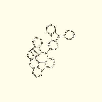 c1ccc(-n2c3ccccc3c3cc(N(c4cccc5c4-c4c6ccccc6cc6cccc-5c46)c4cccc5ccccc45)ccc32)cc1